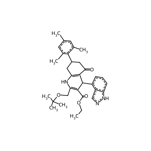 CCOC(=O)C1=C(COC(C)(C)C)NC2=C(C(=O)CC(c3c(C)cc(C)cc3C)C2)C1c1cccc2[nH]ncc12